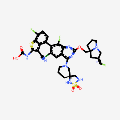 N#Cc1c(NC(=O)O)sc2c(F)ccc(-c3c(Cl)cc4c(N5CCC[C@]6(CNS(=O)(=O)N6)C5)nc(OCC56CCCN5C/C(=C\F)C6)nc4c3F)c12